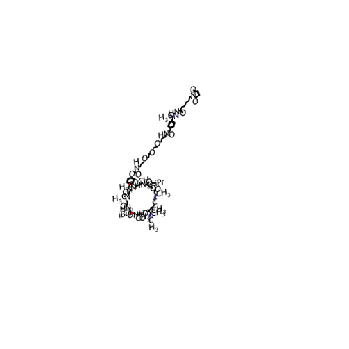 C/C=C(\C)[C@H]1OC(=O)[C@@H](C)NC(=O)[C@H](C(C)CC)NC(=O)CN(C)C(=O)[C@@H](Cc2ccc(OC(=O)NCCCOCCOCCOCCCNC(=O)c3ccc(/C(C)=N/NC(=O)CCCCCN4C(=O)C=CC4=O)cc3)cc2)N(C)C(=O)[C@H](C)NC(=O)[C@@H](CC(C)C)OC(=O)/C(C)=C/CC[C@@H]1C